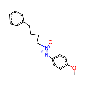 COc1ccc(/N=[N+](\[O-])CCCCc2ccccc2)cc1